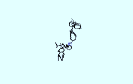 C[C@@H]1OC(c2ccc(/C=C/C(=O)Nc3ccc4cnccc4c3)cc2)O[C@H]1C